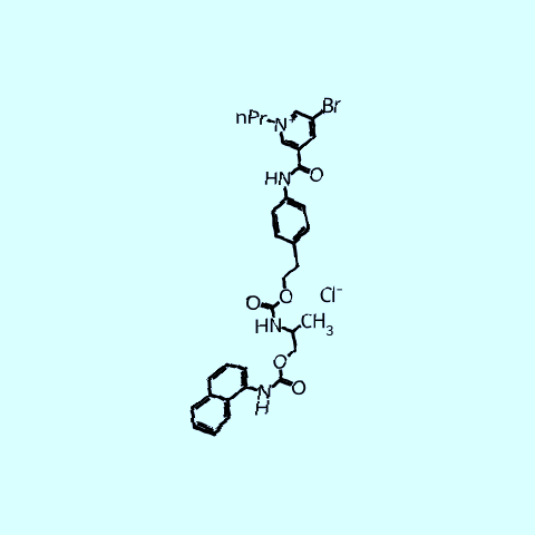 CCC[n+]1cc(Br)cc(C(=O)Nc2ccc(CCOC(=O)NC(C)COC(=O)Nc3cccc4ccccc34)cc2)c1.[Cl-]